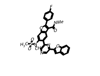 CNC(=O)c1c(-c2ccc(F)cc2)oc2cc(N(C)S(C)(=O)=O)c(-c3cncc(-c4cc5ccccc5o4)n3)cc12